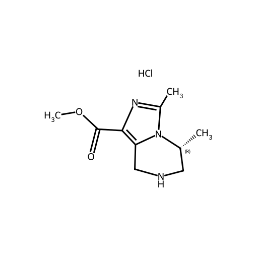 COC(=O)c1nc(C)n2c1CNC[C@H]2C.Cl